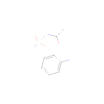 CC(O)NS(N)(=O)=O.Nc1ccccc1